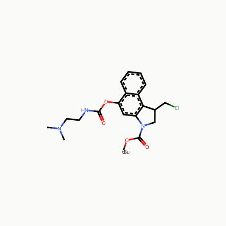 CN(C)CCNC(=O)Oc1cc2c(c3ccccc13)C(CCl)CN2C(=O)OC(C)(C)C